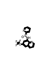 [O-][S+](Nc1cc(OC(F)(F)F)cc2cccnc12)c1ccccn1